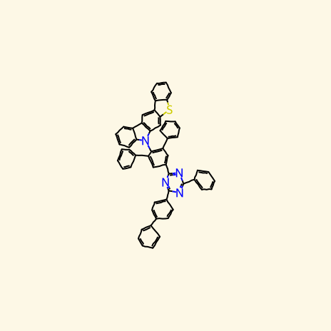 c1ccc(-c2ccc(-c3nc(-c4ccccc4)nc(-c4cc(-c5ccccc5)c(-n5c6ccccc6c6cc7c(cc65)sc5ccccc57)c(-c5ccccc5)c4)n3)cc2)cc1